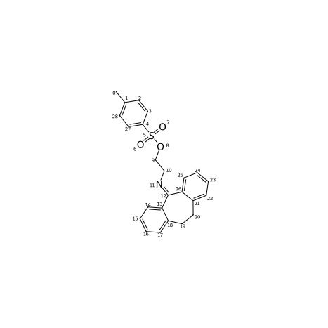 Cc1ccc(S(=O)(=O)OCCN=C2c3ccccc3CCc3ccccc32)cc1